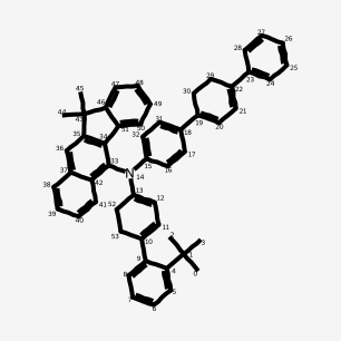 CC(C)(C)c1ccccc1C1=CC=C(N(c2ccc(C3=CC=C(c4ccccc4)CC3)cc2)c2c3c(cc4ccccc24)C(C)(C)c2ccccc2-3)CC1